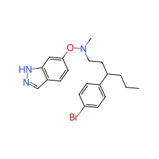 CCCC(CCN(C)Oc1ccc2cn[nH]c2c1)c1ccc(Br)cc1